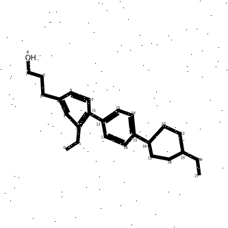 CCc1cc(CCCO)ccc1-c1ccc(C2CCC(CC)CC2)cc1